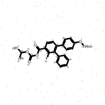 CCCCCCCCCOc1ccc(-c2ccc(C(=O)OC(=O)OC(CCC)CCC)c(F)c2-c2ccccc2)cc1